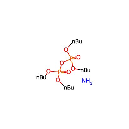 CCCCOP(=O)(OCCCC)OP(=O)(OCCCC)OCCCC.N